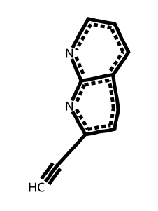 C#Cc1ccc2cccnc2n1